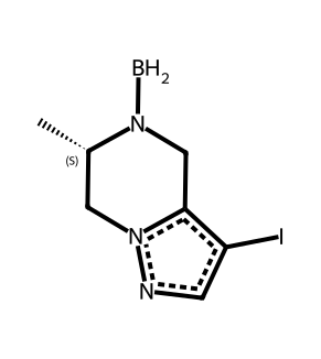 BN1Cc2c(I)cnn2C[C@@H]1C